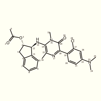 CC(=O)O[C@H]1Cc2ccccc2[C@@H]1Nc1c(C)nc(-c2ccc(N(C)C)cc2Cl)c(=O)n1C